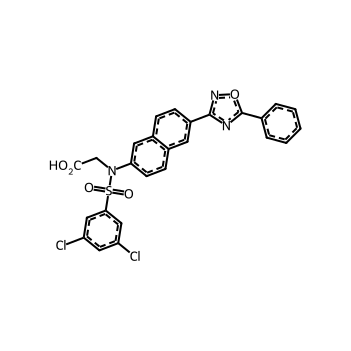 O=C(O)CN(c1ccc2cc(-c3noc(-c4ccccc4)n3)ccc2c1)S(=O)(=O)c1cc(Cl)cc(Cl)c1